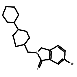 O=C1c2cc(O)ccc2CN1CC1CCC(C2CCCCC2)CC1